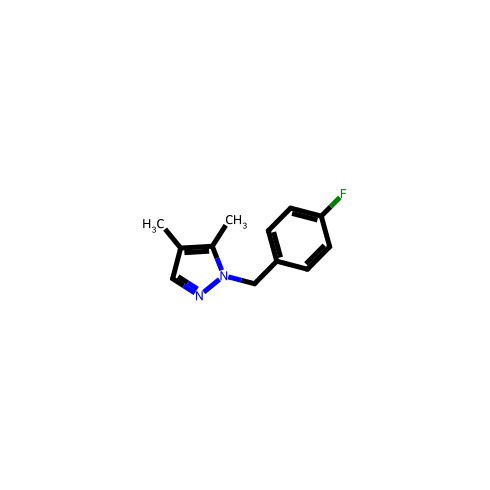 Cc1cnn(Cc2ccc(F)cc2)c1C